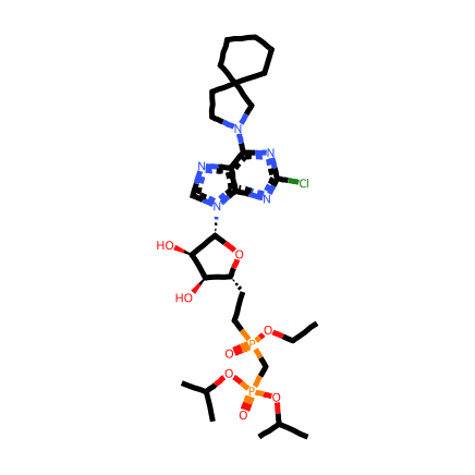 CCOP(=O)(CC[C@H]1O[C@@H](n2cnc3c(N4CCC5(CCCCC5)C4)nc(Cl)nc32)[C@H](O)[C@@H]1O)CP(=O)(OC(C)C)OC(C)C